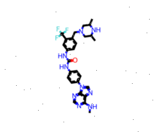 CNc1ncnc2c1ncn2-c1ccc(NC(=O)Nc2ccc(CN3CC(C)NC(C)C3)c(C(F)(F)F)c2)cc1